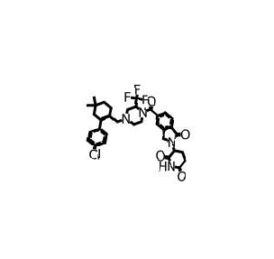 CC1(C)CCC(CN2CCN(C(=O)c3ccc4c(c3)CN(C3CCC(=O)NC3=O)C4=O)C(C(F)(F)F)C2)=C(c2ccc(Cl)cc2)C1